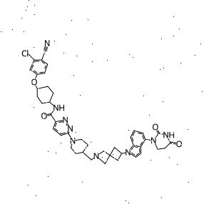 N#Cc1ccc(OC2CCC(NC(=O)c3ccc(N4CCC(CN5CC6(CC(n7ccc8c(N9CCC(=O)NC9=O)cccc87)C6)C5)CC4)nn3)CC2)cc1Cl